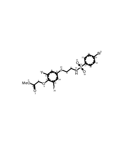 COC(=O)COc1c(F)cc(SCCNS(=O)(=O)c2ccc(Br)cc2)cc1F